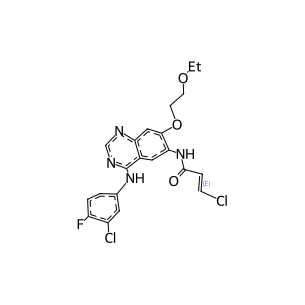 CCOCCOc1cc2ncnc(Nc3ccc(F)c(Cl)c3)c2cc1NC(=O)/C=C/Cl